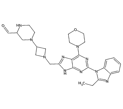 CCc1nc2ccccc2n1-c1nc(N2CCOCC2)c2nc(CN3CC(N4CCNC(C=O)C4)C3)[nH]c2n1